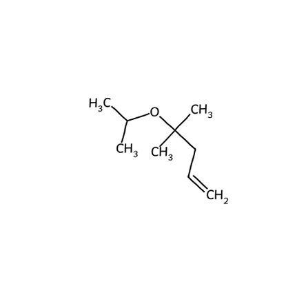 C=CCC(C)(C)OC(C)C